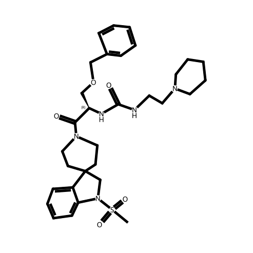 CS(=O)(=O)N1CC2(CCN(C(=O)[C@@H](COCc3ccccc3)NC(=O)NCCN3CCCCC3)CC2)c2ccccc21